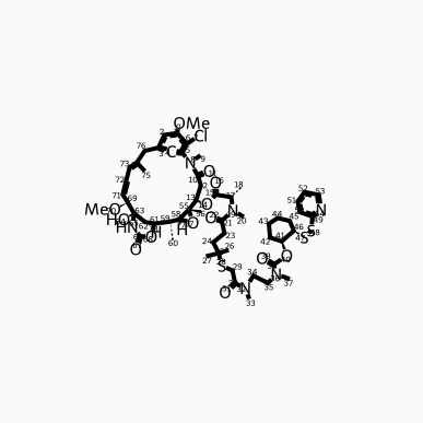 COc1cc2cc(c1Cl)N(C)C(=O)C[C@H](OC(=O)[C@H](C)N(C)C(=O)CCC(C)(C)SCC(=O)N(C)CCN(C)C(=O)O[C@H]1CCCC[C@@H]1SSc1ccccn1)[C@]1(C)O[C@H]1[C@H](C)[C@@H]1C[C@@](O)(NC(=O)O1)[C@H](OC)/C=C/C=C(\C)C2